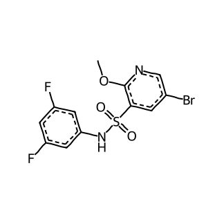 COc1ncc(Br)cc1S(=O)(=O)Nc1cc(F)cc(F)c1